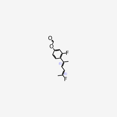 C/C(F)=C\C=C(/C)c1ccc(OC=O)cc1F